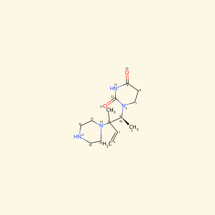 C=CC(C)([C@H](C)N1CCC(=O)NC1=O)N1CCNCC1